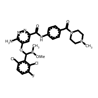 COB(C)C(Oc1cc(C(=O)Nc2ccc(C(=O)N3CCN(C)CC3)cc2)nnc1N)c1c(Cl)ccc(F)c1Cl